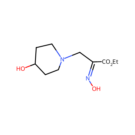 CCOC(=O)C(CN1CCC(O)CC1)=NO